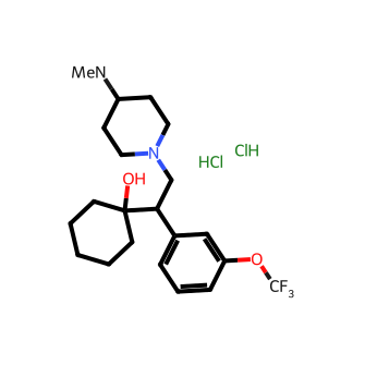 CNC1CCN(CC(c2cccc(OC(F)(F)F)c2)C2(O)CCCCC2)CC1.Cl.Cl